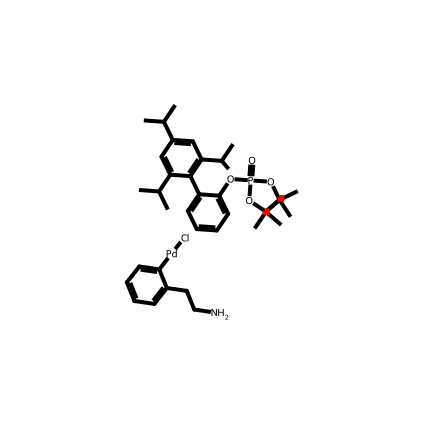 CC(C)c1cc(C(C)C)c(-c2ccccc2OP(=O)(OC(C)(C)C)OC(C)(C)C)c(C(C)C)c1.NCCc1cccc[c]1[Pd][Cl]